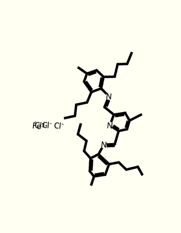 CCCCc1cc(C)cc(CCCC)c1N=Cc1cc(C)cc(C=Nc2c(CCCC)cc(C)cc2CCCC)n1.[Cl-].[Cl-].[Cl-].[Fe+3]